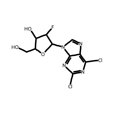 OCC1OC(n2cnc3c(Cl)nc(Cl)nc32)C(F)C1O